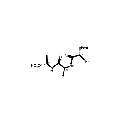 CCCCC[C@H](N)C(=O)N[C@@H](C)C(=O)N[C@@H](C)C(=O)O